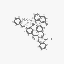 CS(=O)(=O)Nc1cc([C@@H](O)CN(Cc2ccccc2)[C@H](CO)Cc2ccc(Oc3ccnc4ccc(F)cc34)cc2)ccc1OCc1ccccc1